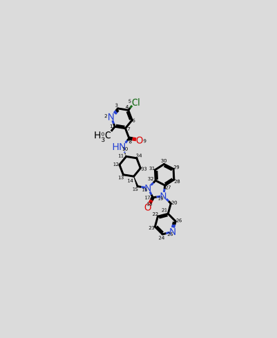 Cc1ncc(Cl)cc1C(=O)N[C@H]1CC[C@H](Cn2c(=O)n(Cc3cccnc3)c3ccccc32)CC1